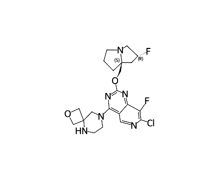 Fc1c(Cl)ncc2c(N3CCNC4(COC4)C3)nc(OC[C@@]34CCCN3C[C@H](F)C4)nc12